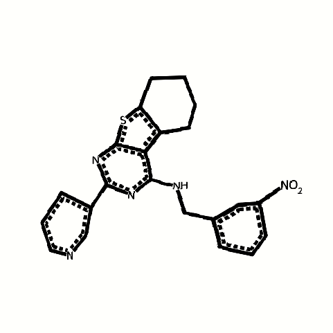 O=[N+]([O-])c1cccc(CNc2nc(-c3cccnc3)nc3sc4c(c23)CCCC4)c1